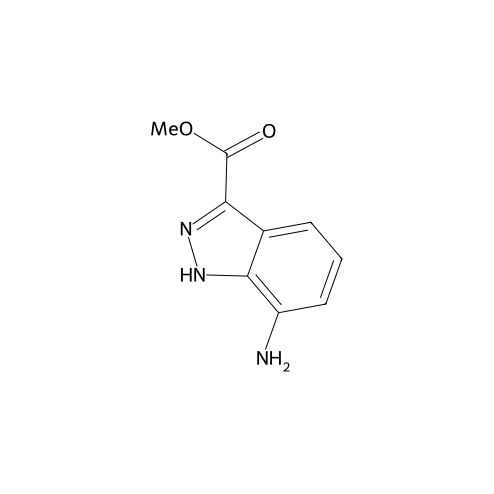 COC(=O)c1n[nH]c2c(N)cccc12